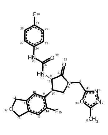 Cc1nnc(CN2C[C@@H](c3cc4c(cc3F)COC4)[C@H](NC(=O)Nc3ccc(F)cc3)C2=O)o1